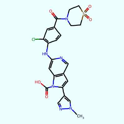 Cn1cc(-c2cc3cnc(Nc4ccc(C(=O)N5CCS(=O)(=O)CC5)cc4Cl)cc3n2C(=O)O)cn1